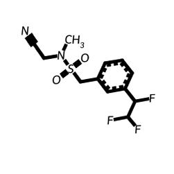 CN(CC#N)S(=O)(=O)Cc1cccc(C(F)C(F)F)c1